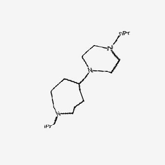 CCCN1CCN(C2CCN(C(C)C)CC2)CC1